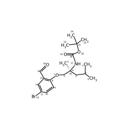 CC(C)C[C@@](C)(COc1ccc(Br)cc1C=O)NC(=O)OC(C)(C)C